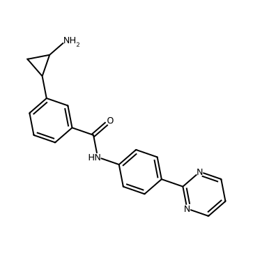 NC1CC1c1cccc(C(=O)Nc2ccc(-c3ncccn3)cc2)c1